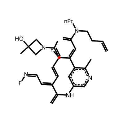 C=CCCN(CCC)C(=C)/C=C(\C=C(/C)N1CC(C)(O)C1)c1cc(NC(=C)C(/C=C/CF)=C/C=N\F)cnc1C